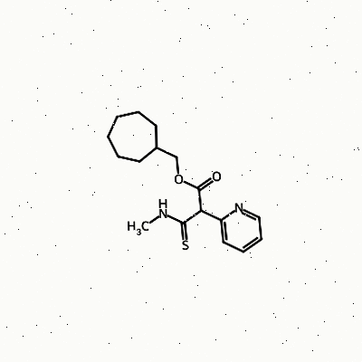 CNC(=S)C(C(=O)OCC1CCCCCC1)c1ccccn1